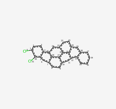 Clc1ccc2c(cc3ccc4cc5c6ccccc6cc6ccc7cc2c3c4c7c65)c1Cl